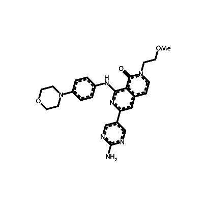 COCCn1ccc2cc(-c3cnc(N)nc3)nc(Nc3ccc(N4CCOCC4)cc3)c2c1=O